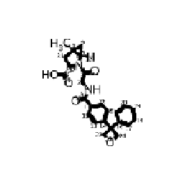 C[C@@]12C[C@@H]1N(C(=O)CNC(=O)c1ccc(C3(c4ccccc4)COC3)cc1)[C@H](C(=O)O)C2